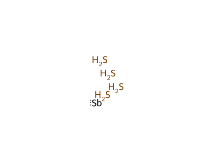 S.S.S.S.[Sb]